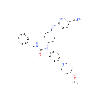 COC1CCN(c2ccc(N(C(=O)NCc3ccccc3)[C@H]3CC[C@H](Nc4ccc(C#N)cn4)CC3)cc2)CC1